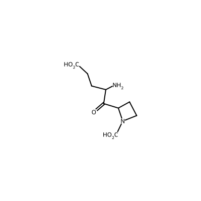 NC(CCC(=O)O)C(=O)C1CCN1C(=O)O